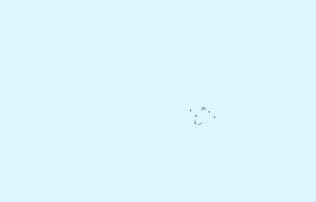 CCCCCCCCCCCCCC[n+]1ccn(CCCCC)c1CCCCCC